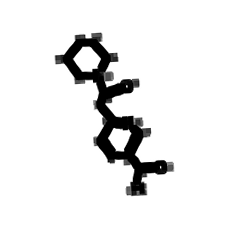 CCC(=O)c1ccc(CC(=O)N2CCCCC2)nc1